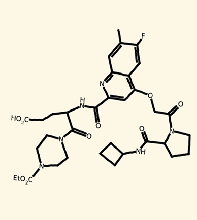 CCOC(=O)N1CCN(C(=O)C(CCC(=O)O)NC(=O)c2cc(OCC(=O)N3CCCC3C(=O)NC3CCC3)c3cc(F)c(C)cc3n2)CC1